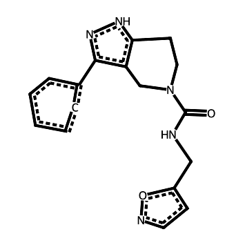 O=C(NCc1ccno1)N1CCc2[nH]nc(-c3ccccc3)c2C1